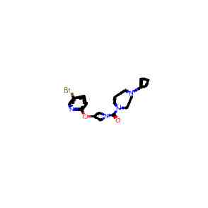 O=C(N1CCCN(C2CCC2)CC1)N1CC(Oc2ccc(Br)cn2)C1